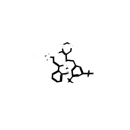 Cc1ccccc1/C1=C/C(S(C)(=O)=O)OC2=C(CNCN2)C(Cc2cc(C(F)(F)F)cc(C(F)(F)F)c2)[NH+]1[O-]